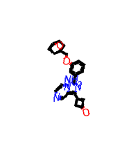 N[N+]12C=CN=CC1=C(C1CC(=O)C1)N=C2c1cccc(OCC23CCC(CC2)O3)c1